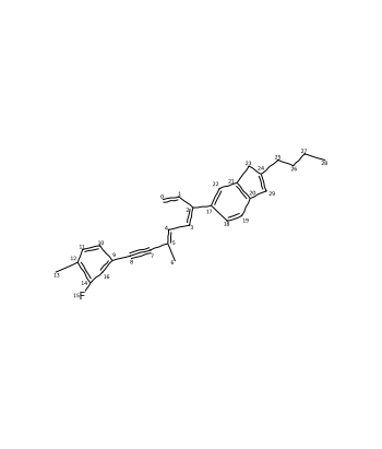 C=C/C(=C\C=C(/C)C#Cc1ccc(C)c(F)c1)c1ccc2c(c1)CC(CCCC)=C2